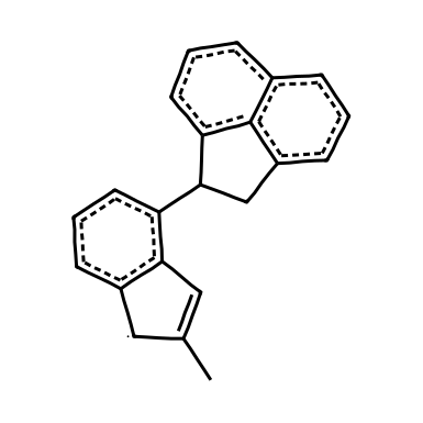 CC1=Cc2c(cccc2C2Cc3cccc4cccc2c34)[CH]1